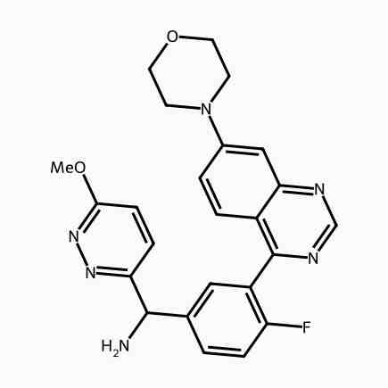 COc1ccc(C(N)c2ccc(F)c(-c3ncnc4cc(N5CCOCC5)ccc34)c2)nn1